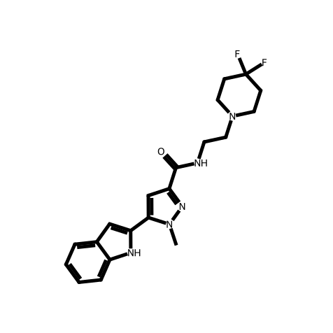 Cn1nc(C(=O)NCCN2CCC(F)(F)CC2)cc1-c1cc2ccccc2[nH]1